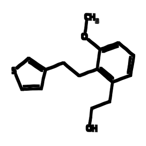 COc1cccc(CCO)c1CCc1ccsc1